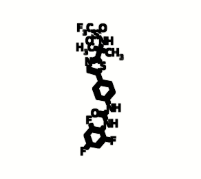 CC(C)(NS(=O)(=O)C(F)(F)F)c1ncc(-c2ccc(NC(=O)Nc3c(F)cc(F)cc3F)cc2)s1